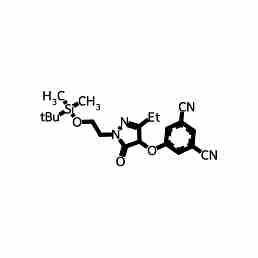 CCC1=NN(CCO[Si](C)(C)C(C)(C)C)C(=O)C1Oc1cc(C#N)cc(C#N)c1